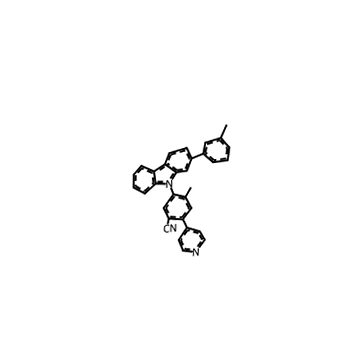 Cc1cccc(-c2ccc3c4ccccc4n(-c4cc(C#N)c(-c5ccncc5)cc4C)c3c2)c1